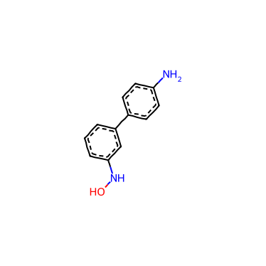 Nc1ccc(-c2cccc(NO)c2)cc1